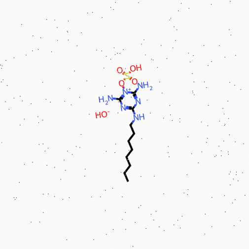 CCCCCCCCNc1nc(N)[n+](OS(=O)(=O)O)c(N)n1.[OH-]